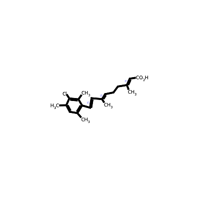 CC(/C=C/c1c(C)cc(C)c(Cl)c1C)=C\CC/C(C)=C/C(=O)O